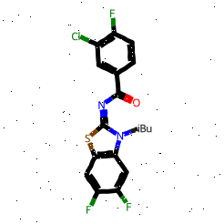 [CH2]CC([CH2])n1c(=NC(=O)c2ccc(F)c(Cl)c2)sc2cc(F)c(F)cc21